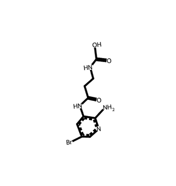 Nc1ncc(Br)cc1NC(=O)CCNC(=O)O